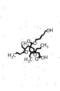 CCCC1OC1(CC)CC(CCCC(=O)O)(CC1(CC)OC1CCC)C(=O)OCCCCCO